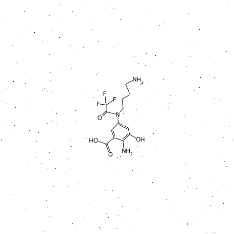 NCCCCN(C(=O)C(F)(F)F)c1cc(O)c(N)c(C(=O)O)c1